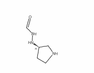 O=CBN[C@@H]1CCNC1